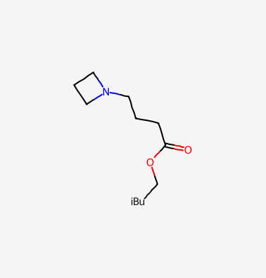 CCC(C)COC(=O)CCCN1CCC1